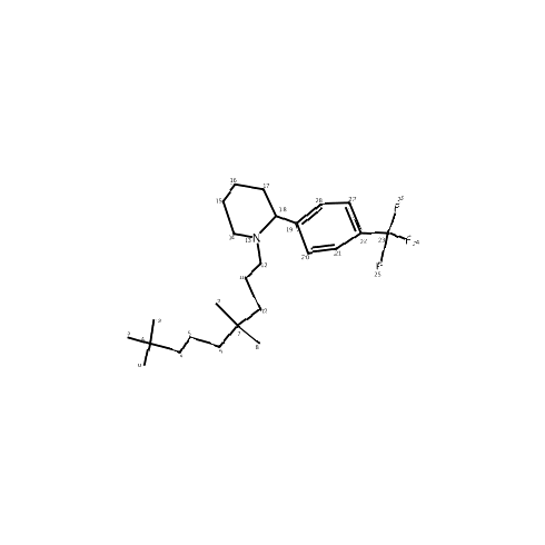 CC(C)(C)CCCC(C)(C)CCCN1CC[CH]CC1c1ccc(C(F)(F)F)cc1